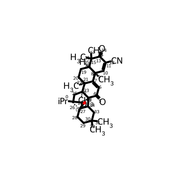 CC(C)C1O[C@]23C(=O)C=C4[C@@]5(C)C=C(C#N)C(=O)C(C)(C)[C@@H]5CC[C@@]4(C)[C@]2(C)CC[C@]12CCC(C)(C)CC23